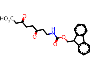 O=C(O)CC(=O)CCC(=O)CCNC(=O)OCC1c2ccccc2-c2ccccc21